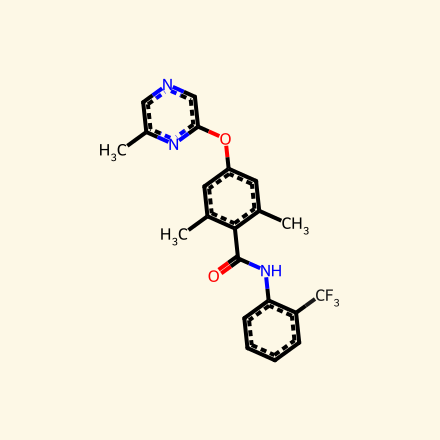 Cc1cncc(Oc2cc(C)c(C(=O)Nc3ccccc3C(F)(F)F)c(C)c2)n1